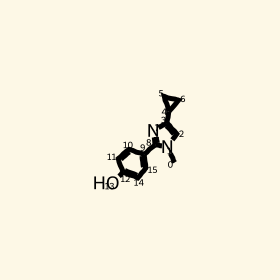 Cn1cc(C2CC2)nc1-c1ccc(O)cc1